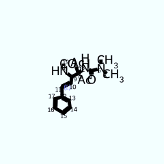 CC(=O)C(NC(=O)N(C)C)(C(C)=O)C(/C=C/c1ccccc1)NC(=O)O